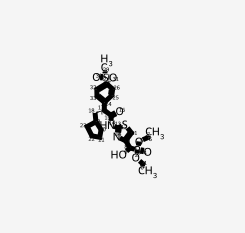 CCOP(=O)(OCC)C(O)c1csc(NC(=O)[C@H](CC2CCCC2)c2ccc(S(C)(=O)=O)cc2)n1